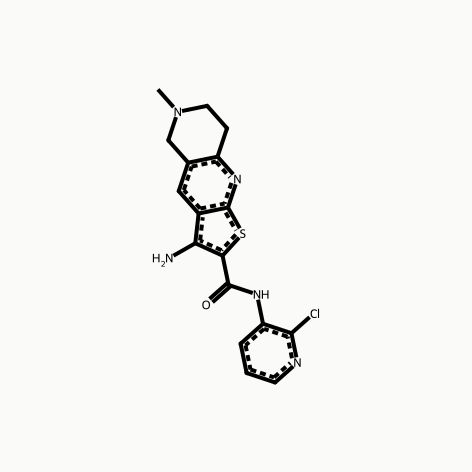 CN1CCc2nc3sc(C(=O)Nc4cccnc4Cl)c(N)c3cc2C1